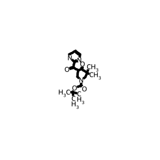 CC(C)(C)OC(=O)N1CC(C(=O)c2ncccn2)C(=O)C(C)(C)C1